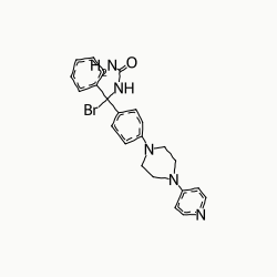 NC(=O)NC(Br)(c1ccccc1)c1ccc(N2CCN(c3ccncc3)CC2)cc1